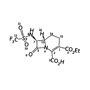 CCOC(=O)C1=C(C(=O)O)N2C(=O)[C@@H](NS(=O)(=O)C(F)(F)F)[C@@H]2CC1